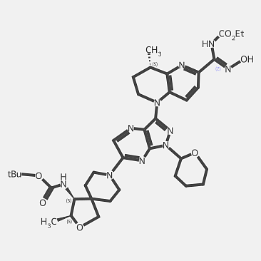 CCOC(=O)N/C(=N\O)c1ccc2c(n1)[C@@H](C)CCN2c1nn(C2CCCCO2)c2nc(N3CCC4(CC3)CO[C@@H](C)[C@H]4NC(=O)OC(C)(C)C)cnc12